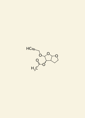 C#CCOC1OC2OCCC2[C@H]1OC(C)=O